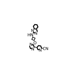 N#Cc1ccc(-c2nccnc2O[C@H]2C[C@H](Nc3ncc4ccccc4n3)C2)cn1